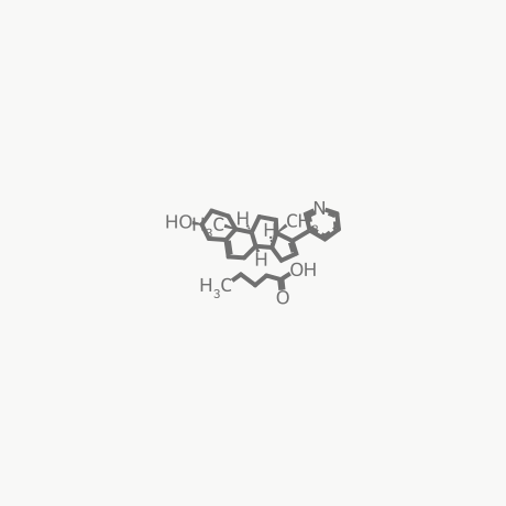 CCCCC(=O)O.C[C@]12CC[C@H](O)CC1=CC[C@@H]1[C@@H]2CC[C@]2(C)C(c3cccnc3)=CC[C@@H]12